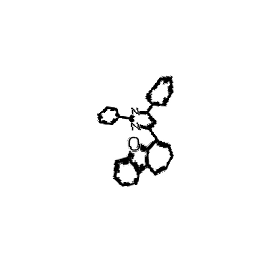 C1=Cc2c(oc3ccccc23)C(c2cc(-c3ccccc3)nc(-c3ccccc3)n2)=CC1